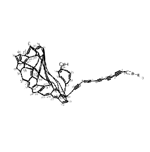 CC#CC#CC#CC#CC#CC1N(c2ccc(O)cc2)CC23C4=Cc5cc6c7c8c(cc9c%10c%11c%12c%13c%14c%15c(cc%16c%14c(c%13c%13c2c5c7c%13c%12c%108)C13C(=C4)C=%16)CC(C9)C%15%11)C6